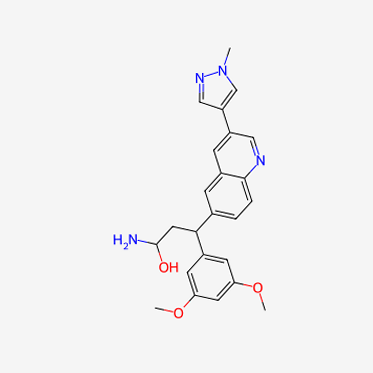 COc1cc(OC)cc(C(CC(N)O)c2ccc3ncc(-c4cnn(C)c4)cc3c2)c1